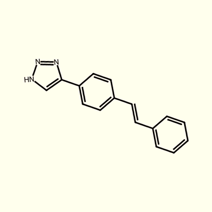 C(=Cc1ccc(-c2c[nH]nn2)cc1)c1ccccc1